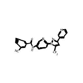 N#Cc1cccc(C(=O)Nc2ccc(-n3nc(-c4cccnc4)cc3C(F)(F)F)nc2)c1